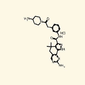 CC1(C)Cc2cnc(N)nc2-c2[nH]nc(C(=O)Nc3cccc(CC(=O)N4CCC(N)CC4)c3)c21.Cl